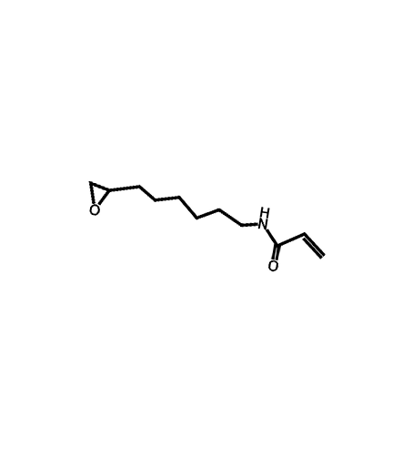 C=CC(=O)NCCCCCCC1CO1